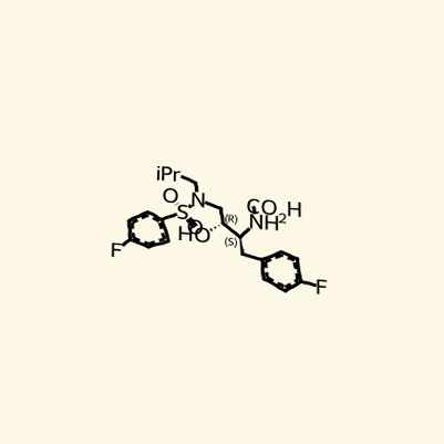 CC(C)CN(C[C@@H](O)[C@H](Cc1ccc(F)cc1)NC(=O)O)S(=O)(=O)c1ccc(F)cc1